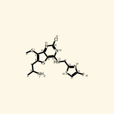 CSc1c(CC(C)N)sc2c(NCc3nc(F)cs3)nc(Cl)nc12